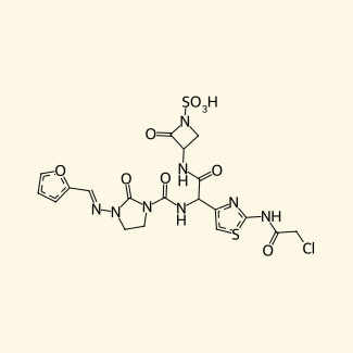 O=C(CCl)Nc1nc(C(NC(=O)N2CCN(N=Cc3ccco3)C2=O)C(=O)NC2CN(S(=O)(=O)O)C2=O)cs1